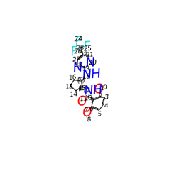 COc1cccc(OC)c1C(=O)N[C@@H]1CCC[C@@H]1Nc1ncc(C(F)(F)F)cn1